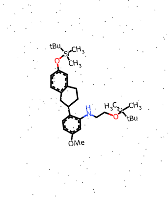 COc1ccc(C2CCc3cc(O[Si](C)(C)C(C)(C)C)ccc3C2)c(NCCO[Si](C)(C)C(C)(C)C)c1